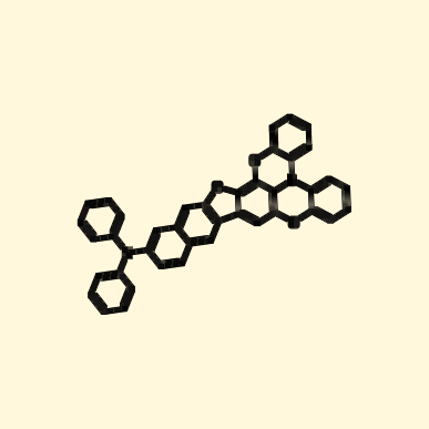 c1ccc(N(c2ccccc2)c2ccc3cc4c(cc3c2)oc2c3c5c(cc24)Oc2ccccc2B5c2ccccc2O3)cc1